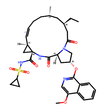 CC[C@H]1CC(=O)N2C[C@H](Oc3ncc(OC)c4ccccc34)C[C@H]2C(=O)N[C@]2(C(=O)NS(=O)(=O)C3CC3)C[C@H]2/C=C\CC[C@H](C)C1